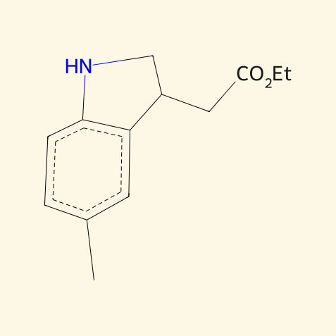 CCOC(=O)CC1CNc2ccc(C)cc21